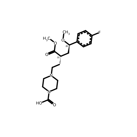 COC(=O)[C@@H](CCN1CCN(C(=O)O)CC1)C[C@@H](OC)c1ccc(F)cc1